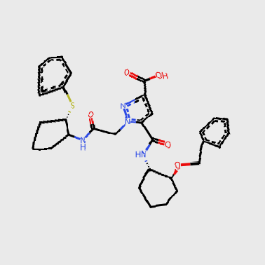 O=C(Cn1nc(C(=O)O)cc1C(=O)N[C@H]1CCCC[C@@H]1OCc1ccccc1)NC1CCC[C@@H]1Sc1ccccc1